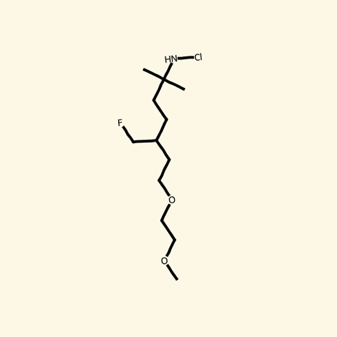 COCCOCCC(CF)CCC(C)(C)NCl